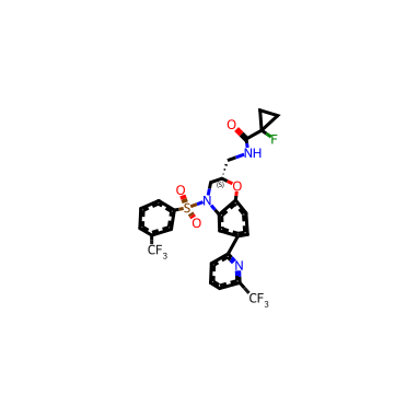 O=C(NC[C@H]1CN(S(=O)(=O)c2cccc(C(F)(F)F)c2)c2cc(-c3cccc(C(F)(F)F)n3)ccc2O1)C1(F)CC1